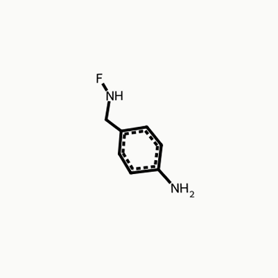 Nc1ccc(CNF)cc1